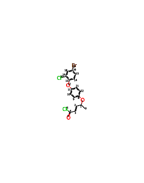 CC(C=CC(=O)Cl)Oc1ccc(Oc2ccc(Br)cc2Cl)cc1